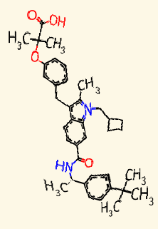 Cc1c(Cc2cccc(OC(C)(C)C(=O)O)c2)c2ccc(C(=O)N[C@@H](C)c3ccc(C(C)(C)C)cc3)cc2n1CC1CCC1